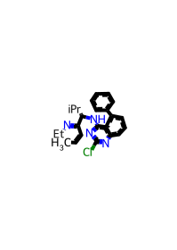 C/C=C\C(=N/CC)C(Nc1nc(Cl)nc2cccc(-c3ccccc3)c12)C(C)C